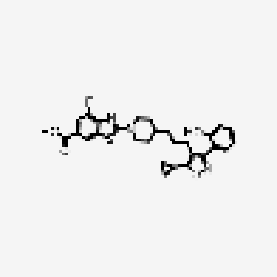 O=C(O)c1cc(F)c2nc(N3CCC(CCCc4c(-c5ccccc5O)noc4C4CC4)CC3)sc2c1